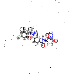 O=C1CC[C@@H](N2Cc3cc(C(=O)N[C@H](c4ccc(F)cc4C(F)(F)F)C(F)(F)F)ccc3C2=O)C(=O)N1